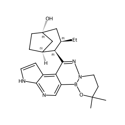 CC[C@@H]1C[C@]2(O)CC[C@@H](C2)[C@@H]1C1=NN2CCC(C)(C)OB2c2cnc3[nH]ccc3c21